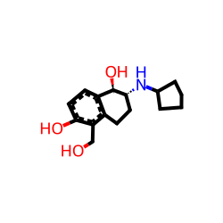 OCc1c(O)ccc2c1CC[C@@H](NC1CCCC1)[C@@H]2O